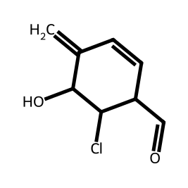 C=C1C=CC(C=O)C(Cl)C1O